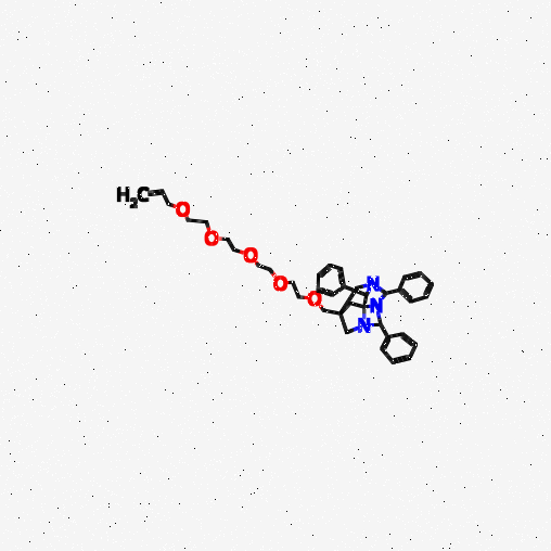 C=CCOCCOCCOCCOCCOCC12CN3C(c4ccccc4)N4C(c5ccccc5)N(C1)C4(C2)C3c1ccccc1